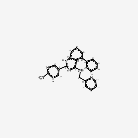 Nc1ncc(-c2nc(NCc3ccccn3)c3c(-c4ccccc4)cccc3n2)cn1